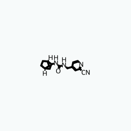 N#Cc1cc(CNC(=O)NC2C[C@@H]3CC[C@H]2C3)ccn1